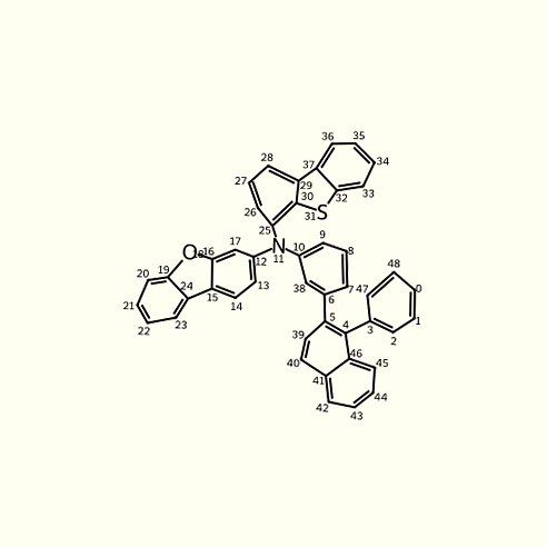 c1ccc(-c2c(-c3cccc(N(c4ccc5c(c4)oc4ccccc45)c4cccc5c4sc4ccccc45)c3)ccc3ccccc23)cc1